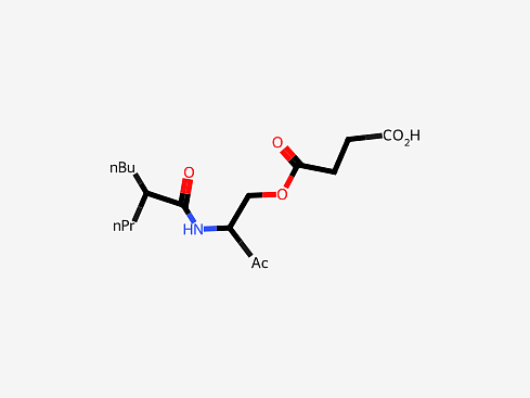 CCCCC(CCC)C(=O)NC(COC(=O)CCC(=O)O)C(C)=O